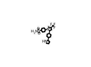 NS(=O)(=O)c1ccc(-n2nc(C(F)(F)F)cc2-c2ccc(-c3ccc[nH]3)cc2)cc1